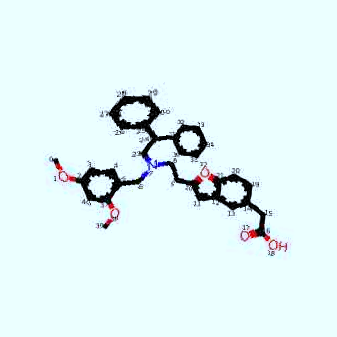 COc1ccc(CN(CCc2cc3cc(CC(=O)O)ccc3o2)CC(c2ccccc2)c2ccccc2)c(OC)c1